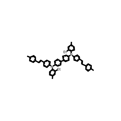 CCc1cc(C)ccc1N(c1ccc(/C=C/c2ccc(C)cc2)cc1)c1ccc(-c2ccc(N(c3ccc(/C=C/c4ccc(C)cc4)cc3)c3ccc(C)cc3CC)cc2)cc1